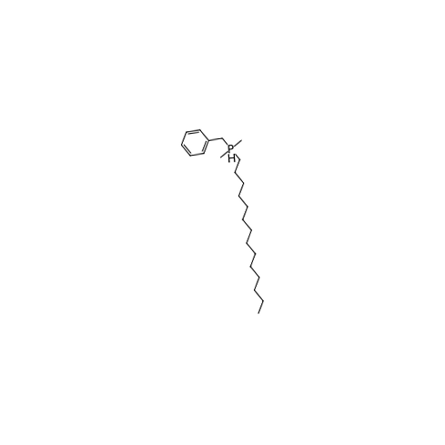 CCCCCCCCCCCCCC[PH](C)(C)Cc1ccccc1